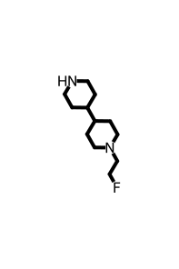 FCCN1CCC(C2CCNCC2)CC1